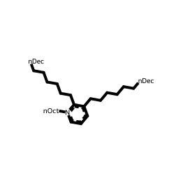 CCCCCCCCCCCCCCCCc1ccc[n+](CCCCCCCC)c1CCCCCCCCCCCCCCCC